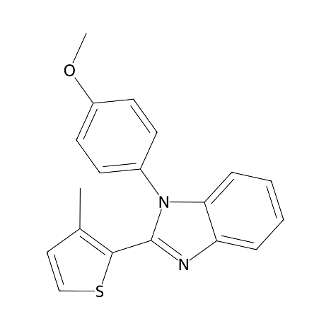 COc1ccc(-n2c(-c3sccc3C)nc3ccccc32)cc1